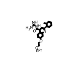 CCCOCCOc1ccc2c(C(=O)NC(=N)N)cc(-c3ccccc3C)nc2c1